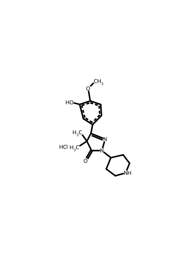 COc1ccc(C2=NN(C3CCNCC3)C(=O)C2(C)C)cc1O.Cl